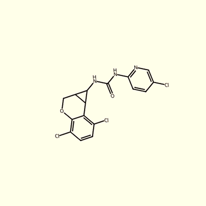 O=C(Nc1ccc(Cl)cn1)NC1C2COc3c(Cl)ccc(Cl)c3C21